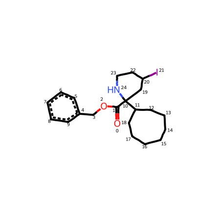 O=C(OCc1ccccc1)C1(C2CCCCCCC2)CC(I)CCN1